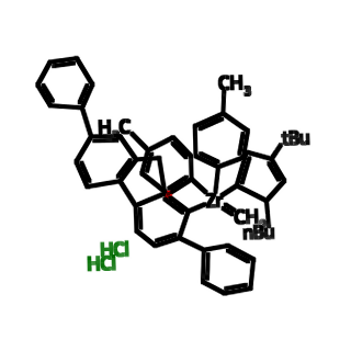 Cl.Cl.[CH2]=[Zr]([C]1=CC(C(C)(C)C)=CC1CCCC)([c]1ccc(C)cc1)([c]1ccc(C)cc1)[c]1c(-c2ccccc2)ccc2c1Cc1cc(-c3ccccc3)ccc1-2